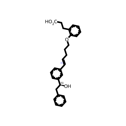 O=C(O)CCc1ccccc1OCCC/C=C/c1cccc([C@@H](O)Cc2ccccc2)c1